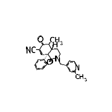 Cc1cc(CN2CC[C@H]3[C@H](C)C(=O)C(C#N)=C[C@]3(c3ccccc3)C2=O)ccn1